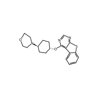 c1ccc2c(c1)sc1ncnc(O[C@H]3CC[C@H](N4CCOCC4)CC3)c12